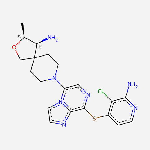 C[C@@H]1OCC2(CCN(c3cnc(Sc4ccnc(N)c4Cl)c4nccn34)CC2)[C@@H]1N